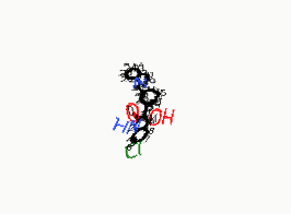 O=c1[nH]c2cc(Cl)ccc2c(O)c1-c1cccc(Cn2ccc3ccccc32)c1